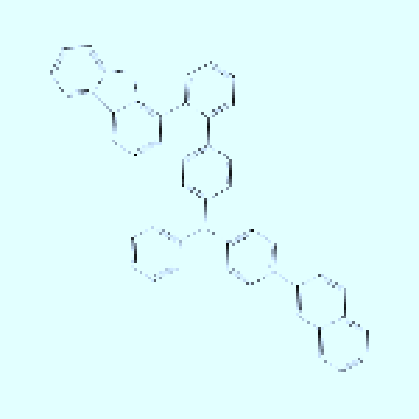 c1ccc(N(c2ccc(-c3ccc4ccccc4c3)cc2)c2ccc(-c3ccccc3-c3cccc4c3oc3ccccc34)cc2)cc1